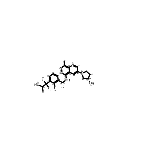 Cc1nnc(N[C@H](C)c2cccc(C(F)(F)C(C)O)c2F)c2cc(N3CC[C@H](O)C3)cnc12